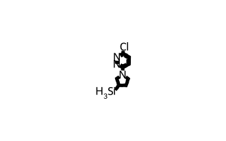 [SiH3]C1CCN(c2ccc(Cl)nn2)C1